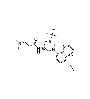 CN(C)CCC(=O)N[C@@H]1C[C@H](C(F)(F)F)CN(c2ccc(C#N)c3nccnc23)C1